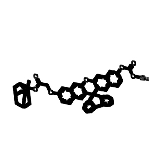 CC(C)(C)OC(=O)Oc1ccc2cc3c(cc2c1)Oc1cc2cc(OCC(=O)OC4(C)C5CC6CC(C5)CC4C6)ccc2cc1C31c2ccccc2-c2ccccc21